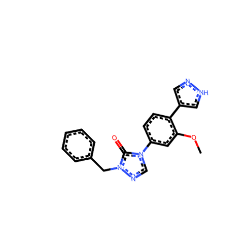 COc1cc(-n2cnn(Cc3ccccc3)c2=O)ccc1-c1cn[nH]c1